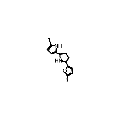 Cc1ccc(C2CCC(c3ccc(C)o3)N2)[nH]1